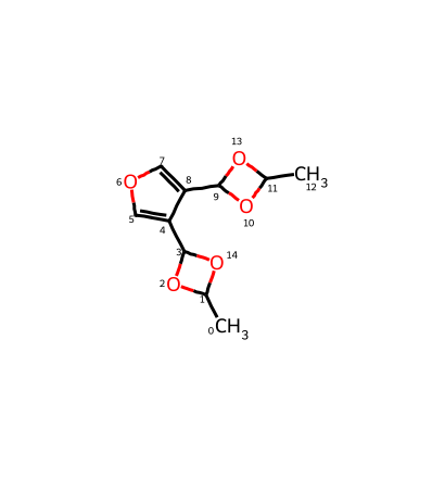 CC1OC(c2cocc2C2OC(C)O2)O1